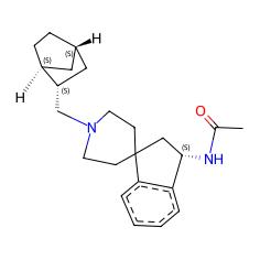 CC(=O)N[C@H]1CC2(CCN(C[C@H]3C[C@H]4CC[C@H]3C4)CC2)c2ccccc21